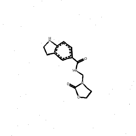 O=C(NCN1CCOC1=O)c1ccc2c(c1)CCN2